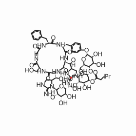 CC(C)CC(=O)O[C@@H]1[C@@H](O[C@H]2[C@H](O)[C@H](O)[C@@H](Oc3ccc(C[C@H]4NC(=O)[C@H](Cc5ccccc5)NC(=O)CNC(=O)[C@H](CO)NC(=O)[C@@H](C(O)C5CNC(=N)N5[C@H]5O[C@H](CO)[C@@H](O)[C@H](O)[C@@H]5O)NC(=O)[C@H](C(O)C5CNC(=N)N5)NC4=O)cc3)O[C@@H]2CO)O[C@H](CO)[C@@H](O)[C@@H]1O